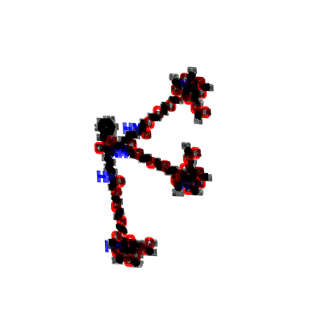 CC(=O)NC1[C@H](OCCOCCOCCOCC(=O)NCCCC[C@H](NC(=O)[C@H](CCCCNC(=O)COCCOCCOCCO[C@@H]2O[C@H](COC(C)=O)[C@H](OC(C)=O)[C@H](OC(C)=O)[C@H]2NC(C)=O)NC(=O)COCCOCCOCCO[C@@H]2O[C@H](COC(C)=O)[C@H](OC(C)=O)[C@H](OC(C)=O)[C@H]2NC(C)=O)C(=O)OCc2ccccc2)O[C@H](COC(C)=O)[C@H](OC(C)=O)[C@@H]1OC(C)=O